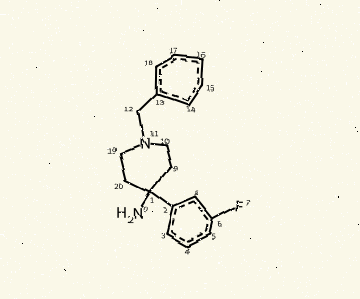 NC1(c2cccc(F)c2)CCN(Cc2ccccc2)CC1